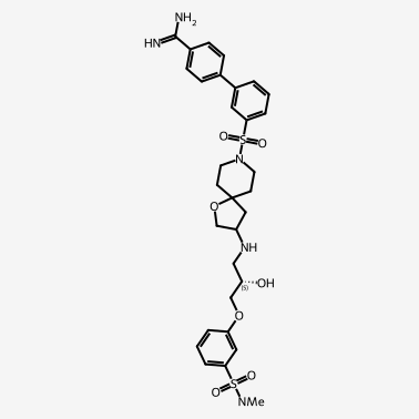 CNS(=O)(=O)c1cccc(OC[C@@H](O)CNC2COC3(CCN(S(=O)(=O)c4cccc(-c5ccc(C(=N)N)cc5)c4)CC3)C2)c1